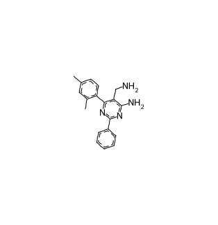 Cc1ccc(-c2nc(-c3ccccc3)nc(N)c2CN)c(C)c1